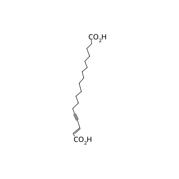 O=C(O)C=CC#CCCCCCCCCCCCCC(=O)O